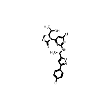 C[C@H](Nc1nc(Cl)cc(N2C(=O)OC[C@@H]2[C@@H](C)O)n1)c1cc(-c2ccc(Cl)cc2)no1